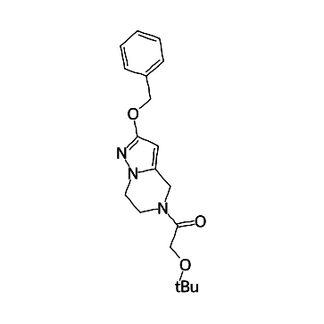 CC(C)(C)OCC(=O)N1CCn2nc(OCc3ccccc3)cc2C1